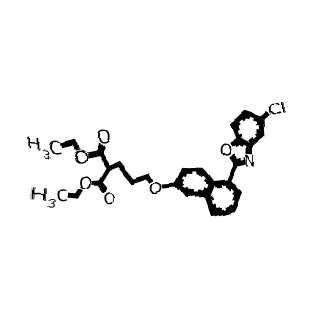 CCOC(=O)C(CCCOc1ccc2c(-c3nc4cc(Cl)ccc4o3)cccc2c1)C(=O)OCC